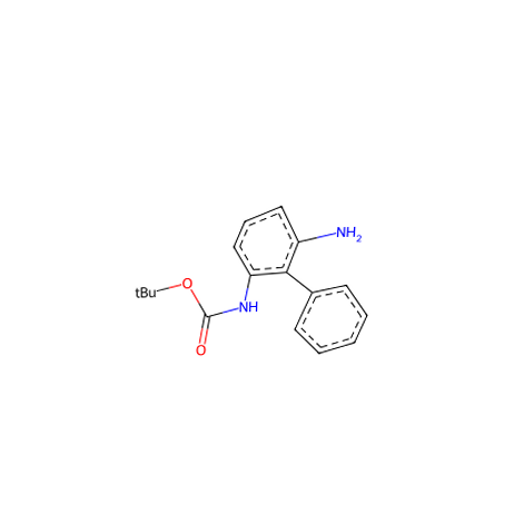 CC(C)(C)OC(=O)Nc1cccc(N)c1-c1ccccc1